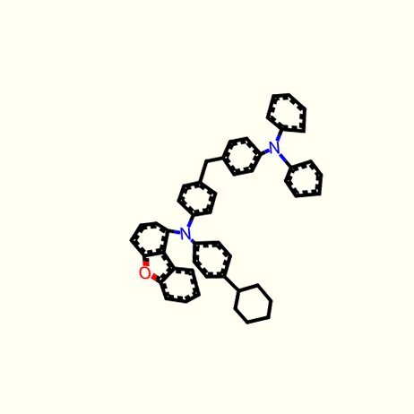 c1ccc(N(c2ccccc2)c2ccc(Cc3ccc(N(c4ccc(C5CCCCC5)cc4)c4cccc5oc6ccccc6c45)cc3)cc2)cc1